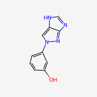 Oc1cccc(-n2cc3[nH][c]nc3n2)c1